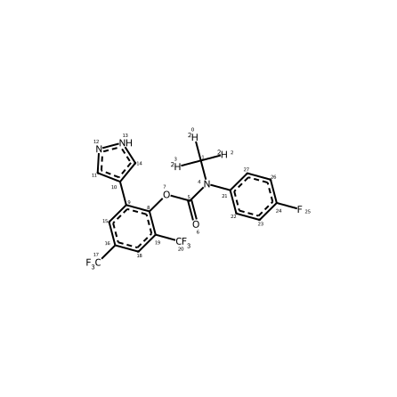 [2H]C([2H])([2H])N(C(=O)Oc1c(-c2cn[nH]c2)cc(C(F)(F)F)cc1C(F)(F)F)c1ccc(F)cc1